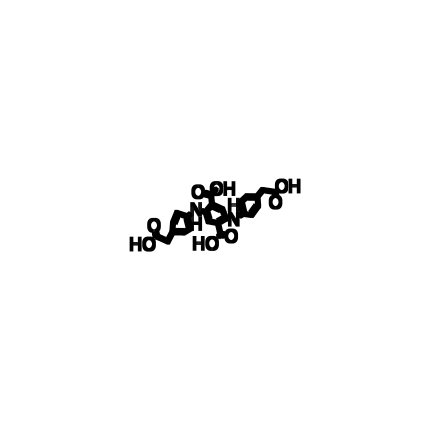 O=C(O)Cc1ccc(Nc2cc(C(=O)O)c(Nc3ccc(CC(=O)O)cc3)cc2C(=O)O)cc1